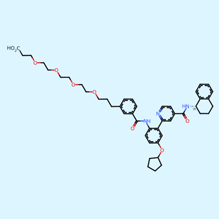 O=C(O)CCOCCOCCOCCOCCCc1cccc(C(=O)Nc2ccc(OC3CCCC3)cc2-c2cc(C(=O)N[C@H]3CCCc4ccccc43)ccn2)c1